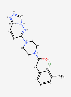 Cc1cccc(CC(=O)N2CCN(c3ccc4nncn4n3)CC2)c1Cl